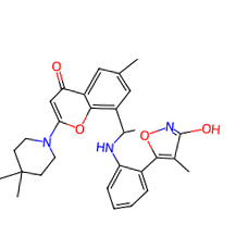 Cc1cc(C(C)Nc2ccccc2-c2onc(O)c2C)c2oc(N3CCC(C)(C)CC3)cc(=O)c2c1